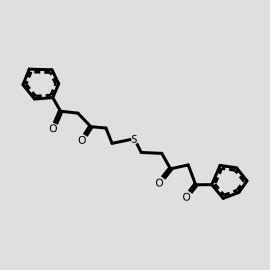 O=C(CCSCCC(=O)CC(=O)c1ccccc1)CC(=O)c1ccccc1